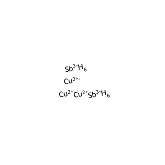 [Cu+2].[Cu+2].[Cu+2].[SbH6-3].[SbH6-3]